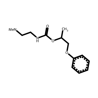 CNCCNC(=O)OC(C)COc1ccccc1